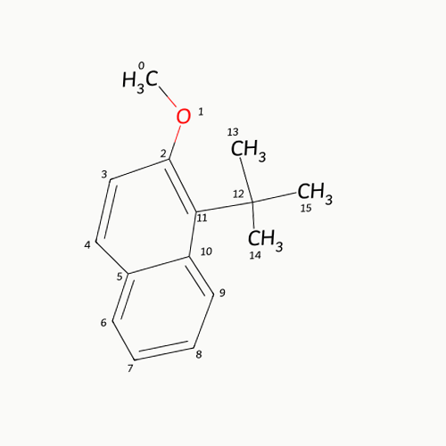 COc1ccc2ccccc2c1C(C)(C)C